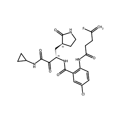 C=C(F)CCC(=O)Nc1ccc(Cl)cc1C(=O)N[C@@H](C[C@@H]1CCNC1=O)C(=O)C(=O)NC1CC1